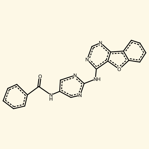 O=C(Nc1cnc(Nc2ncnc3c2oc2ccccc23)nc1)c1ccccc1